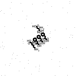 NC(CC(=O)O)C(=O)O.NC(Cc1ccc(O)cc1)C(=O)O.NC(Cc1ccccc1)C(=O)O.NC(Cc1ccccc1)C(=O)O.NCCCCC(N)C(=O)O